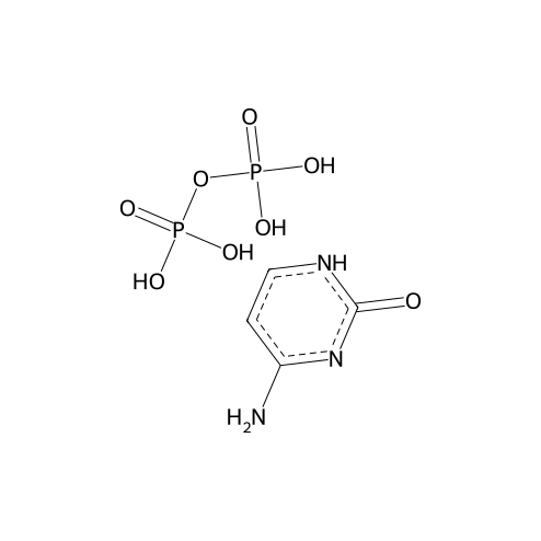 Nc1cc[nH]c(=O)n1.O=P(O)(O)OP(=O)(O)O